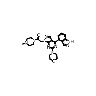 CN1CCN(C(=O)Cn2ncc3c(-c4cccc5[nH]ncc45)nc(N4CCOCC4)nc32)CC1